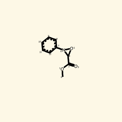 COC(=O)C1ON1c1ccccc1